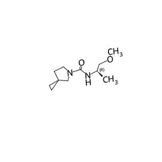 COC[C@@H](C)NC(=O)N1CCC2(CC2)C1